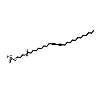 CCCCCCCCCCCCC#CC#CCCCCCCCCC(=O)NCCCO[PH](=O)O